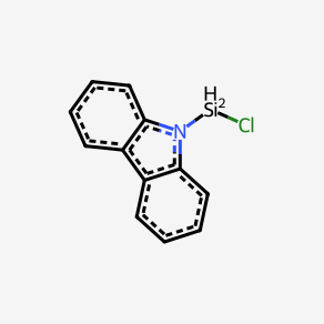 Cl[SiH2]n1c2ccccc2c2ccccc21